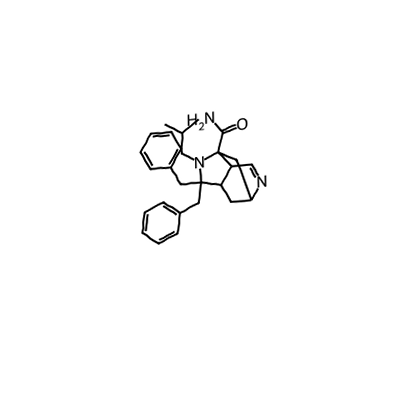 CC(C)CN1C(Cc2ccccc2)(Cc2ccccc2)C2CC3CC1(C(N)=O)C2C=N3